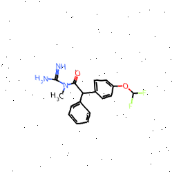 CN(C(=N)N)C(=O)C(c1ccccc1)c1ccc(OC(F)F)cc1